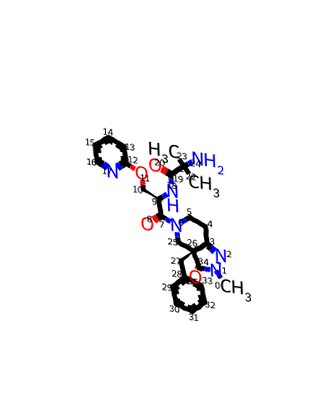 CN1N=C2CCN(C(=O)[C@@H](COc3ccccn3)NC(=O)C(C)(C)N)C[C@@]2(Cc2ccccc2)C1=O